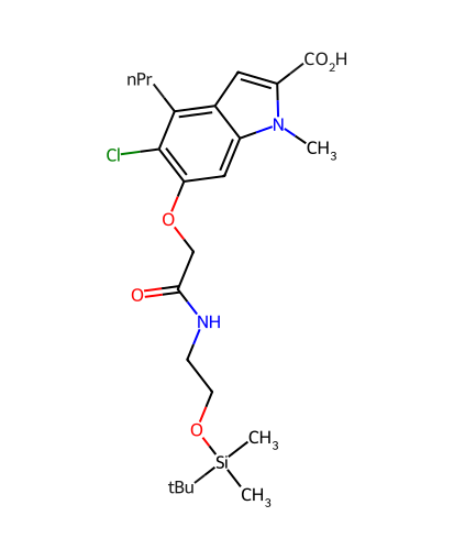 CCCc1c(Cl)c(OCC(=O)NCCO[Si](C)(C)C(C)(C)C)cc2c1cc(C(=O)O)n2C